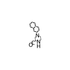 O=C=C1CN(c2ccc3ccccc3c2)CCN1